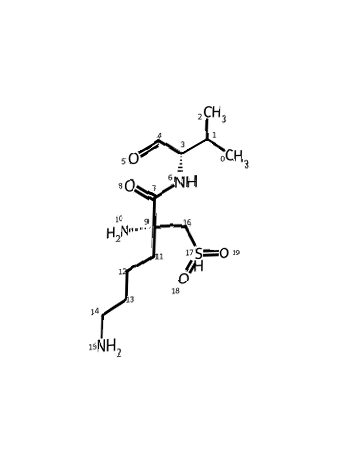 CC(C)[C@@H]([C]=O)NC(=O)[C@](N)(CCCCN)C[SH](=O)=O